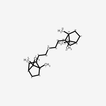 CC1(C)C2CCC1(C)C(CCOCCC1CC3CCC1(C)C3(C)C)C2